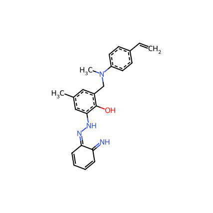 C=Cc1ccc(N(C)Cc2cc(C)cc(N/N=C3/C=CC=CC3=N)c2O)cc1